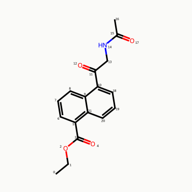 CCOC(=O)c1cccc2c(C(=O)CNC(C)=O)cccc12